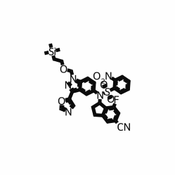 C[Si](C)(C)CCOCn1nc(-c2cnco2)c2cc(N(C3CCc4cc(C#N)cc(F)c43)S(=O)(=O)c3ccccc3[N+](=O)[O-])ccc21